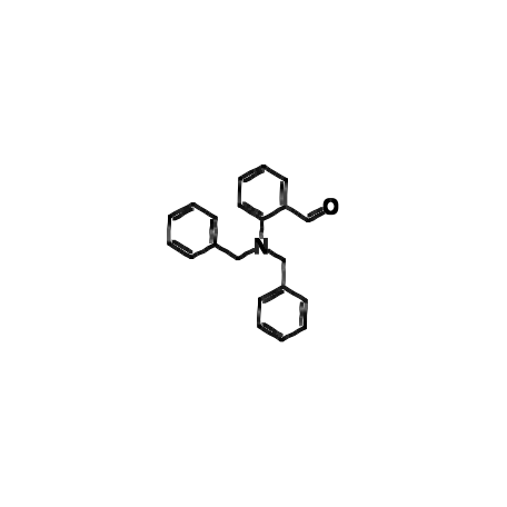 O=Cc1ccccc1N(Cc1ccccc1)Cc1ccccc1